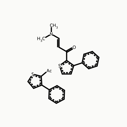 CC(=O)c1sccc1-c1ccccc1.CN(C)C=CC(=O)c1sccc1-c1ccccc1